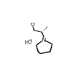 C[C@@H](CCl)N1CCCC1.Cl